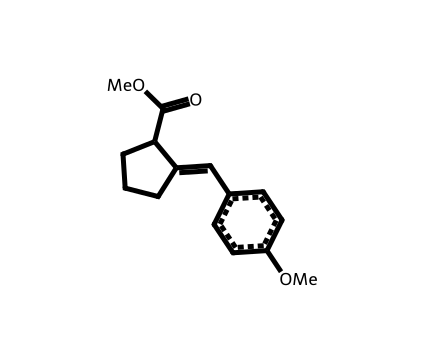 COC(=O)C1CCCC1=Cc1ccc(OC)cc1